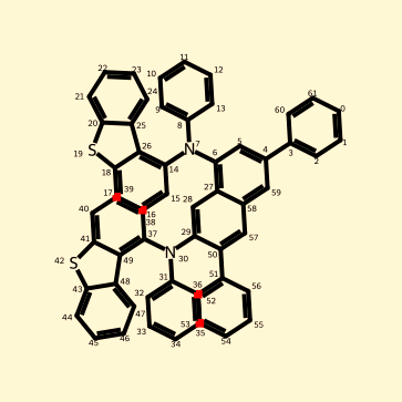 c1ccc(-c2cc(N(c3ccccc3)c3cccc4sc5ccccc5c34)c3cc(N(c4ccccc4)c4cccc5sc6ccccc6c45)c(-c4ccccc4)cc3c2)cc1